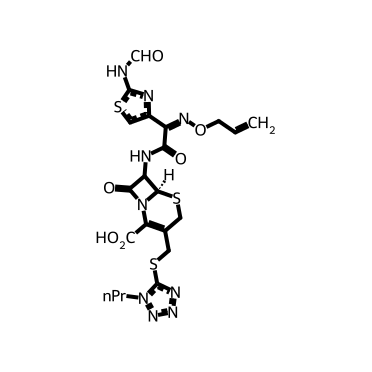 C=CCO/N=C(\C(=O)NC1C(=O)N2C(C(=O)O)=C(CSc3nnnn3CCC)CS[C@H]12)c1csc(NC=O)n1